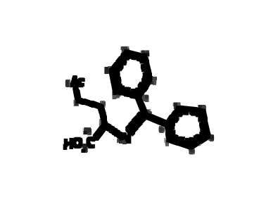 CC(=O)CCC(N=C(c1ccccc1)c1ccccc1)C(=O)O